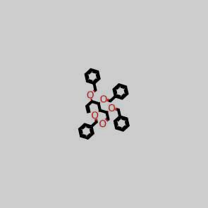 C=C[C@@H](OCc1ccccc1)[C@H](OCc1ccccc1)[C@@H](OCc1ccccc1)[C@@H](C=O)OCc1ccccc1